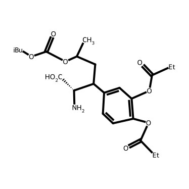 CCC(=O)Oc1ccc(C(CC(C)OC(=O)OC(C)CC)[C@H](N)C(=O)O)cc1OC(=O)CC